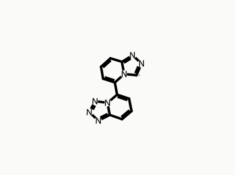 [c]1nnc2cccc(-c3cccc4nnnn34)n12